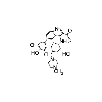 CN1CCN(CC2CCC(Nc3c(C(=O)C4CC4)cnc4ccc(-c5cc(Cl)c(O)c(Cl)c5)cc34)CC2)CC1.Cl